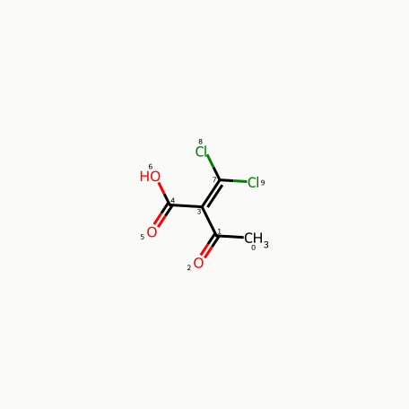 CC(=O)C(C(=O)O)=C(Cl)Cl